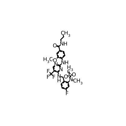 CCCNC(=O)c1ccc(Nc2ncc(C(F)(F)F)c(NCc3ccc(F)cc3N(C)S(C)(=O)=O)n2)c(OC)c1